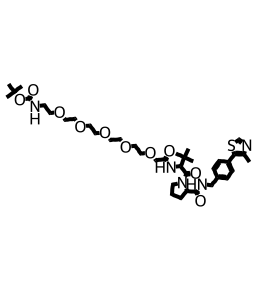 Cc1ncsc1-c1ccc(CNC(=O)C2CCCN2C(=O)C(NC(=O)COCCOCCOCCOCCOCCNC(=O)OC(C)(C)C)C(C)(C)C)cc1